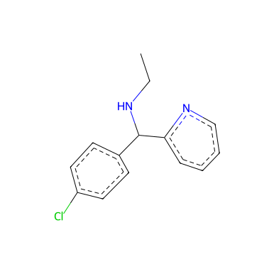 CCNC(c1ccc(Cl)cc1)c1ccccn1